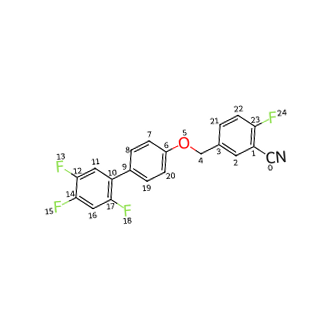 N#Cc1cc(COc2ccc(-c3cc(F)c(F)cc3F)cc2)ccc1F